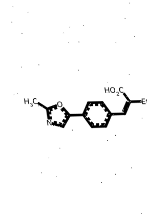 CC/C(=C/c1ccc(-c2cnc(C)o2)cc1)C(=O)O